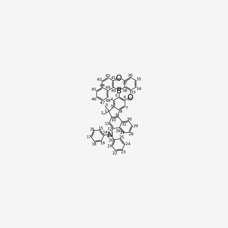 CC1(C)c2cc3c(cc2-c2c1cc(N(c1ccccc1)c1ccccc1)c1ccccc21)Oc1cccc2c1B3c1c(ccc3ccccc13)O2